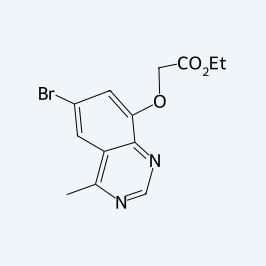 CCOC(=O)COc1cc(Br)cc2c(C)ncnc12